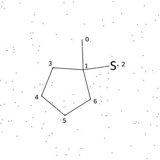 CC1([S])CCCC1